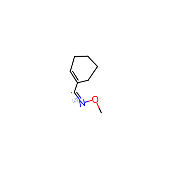 CO/N=[C]\C1=CCCCC1